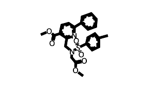 COC(=O)CN(Cc1nc(-c2ccccc2)ccc1C(=O)OC)S(=O)(=O)c1ccc(C)cc1